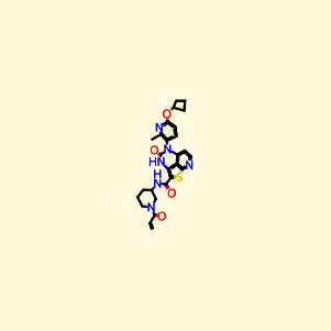 C=CC(=O)N1CCCC(NC(=O)c2sc3nccc4c3c2NC(=O)N4c2ccc(OC3CCC3)nc2C)C1